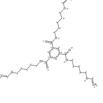 C=COCCCCCOC(=O)c1cc(C(=O)OCCCCCOC=C)cc(C(=O)OCCCCCOC=C)c1